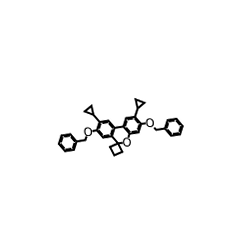 c1ccc(COc2cc3c(cc2C2CC2)-c2cc(C4CC4)c(OCc4ccccc4)cc2C2(CCC2)O3)cc1